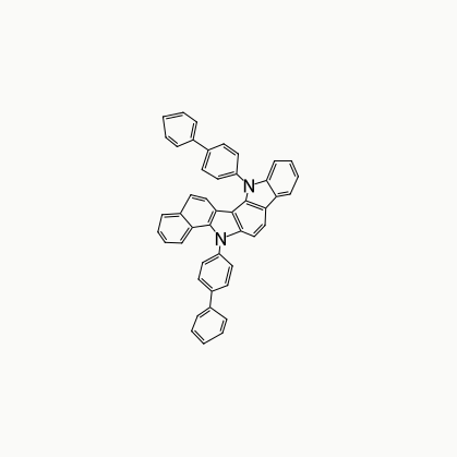 c1ccc(-c2ccc(-n3c4ccc5c6ccccc6n(-c6ccc(-c7ccccc7)cc6)c5c4c4ccc5ccccc5c43)cc2)cc1